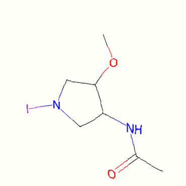 COC1CN(I)CC1NC(C)=O